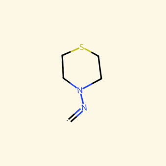 [CH]=NN1CCSCC1